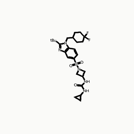 CC(C)(C)c1nc2cc(S(=O)(=O)N3CC(NC(=O)NC4CC4)C3)ccc2n1CC1CCC(F)(F)CC1